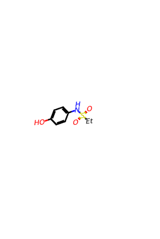 CCS(=O)(=O)Nc1ccc(O)cc1